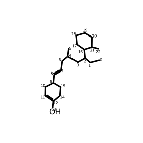 CCC(CC(C)C/C=C/C1CC=C(O)CC1)C1CCCCC1C